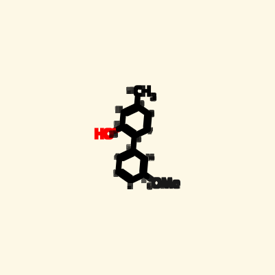 COc1cccc(-c2ccc(C)cc2O)c1